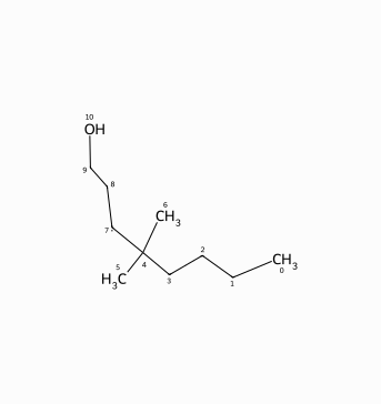 CCCCC(C)(C)[CH]CCO